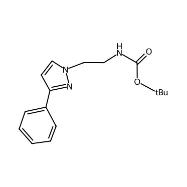 CC(C)(C)OC(=O)NCCn1ccc(-c2ccccc2)n1